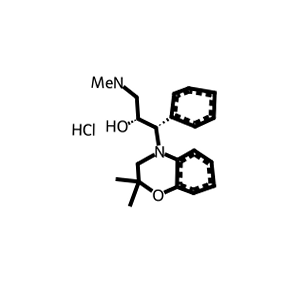 CNC[C@@H](O)[C@H](c1ccccc1)N1CC(C)(C)Oc2ccccc21.Cl